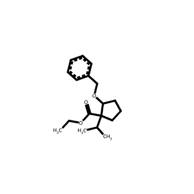 CCOC(=O)C1(C(C)C)CCCC1OCc1ccccc1